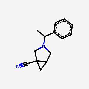 CC(c1ccccc1)N1CC2CC2(C#N)C1